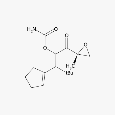 CC(C)(C)C(C1=CCCC1)C(OC(N)=O)C(=O)[C@@]1(C)CO1